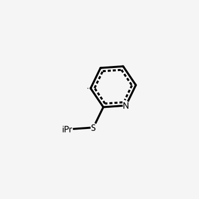 CC(C)Sc1[c]cccn1